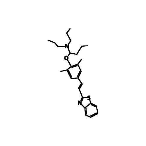 CCCC(Oc1c(C)cc(/C=C/c2nc3ccccc3s2)cc1C)N(CCC)CCC